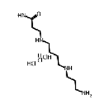 Cl.Cl.Cl.[NH]C(=O)CCNCCCCNCCCN